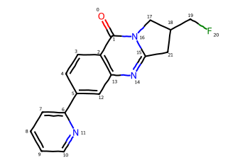 O=c1c2ccc(-c3ccccn3)cc2nc2n1CC(CF)C2